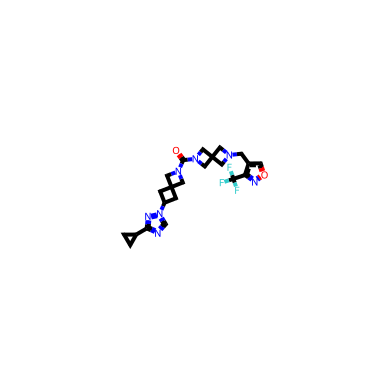 O=C(N1CC2(CC(n3cnc(C4CC4)n3)C2)C1)N1CC2(CN(Cc3conc3C(F)(F)F)C2)C1